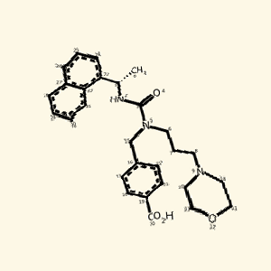 C[C@H](NC(=O)N(CCCN1CCOCC1)Cc1ccc(C(=O)O)cc1)c1cccc2ccccc12